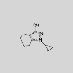 Oc1nn(C2CC2)c2c1CCCC2